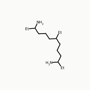 CCC(N)CCCC(CC)CCCC(N)CC